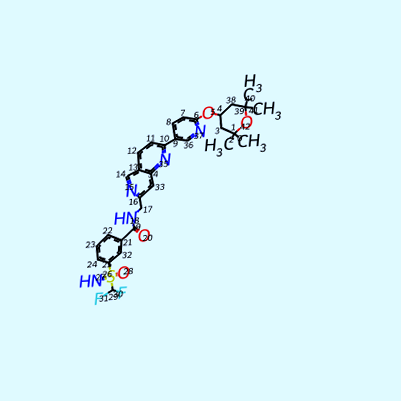 CC1(C)CC(Oc2ccc(-c3ccc4cnc(CNC(=O)c5cccc(S(=N)(=O)C(F)F)c5)cc4n3)cn2)CC(C)(C)O1